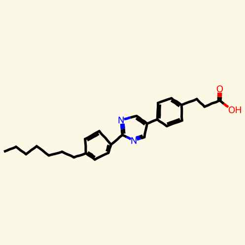 CCCCCCCc1ccc(-c2ncc(-c3ccc(CCC(=O)O)cc3)cn2)cc1